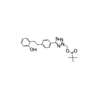 CC(C)(C)C(=O)OCn1nnc(-c2ccc(CCc3ccccc3O)cc2)n1